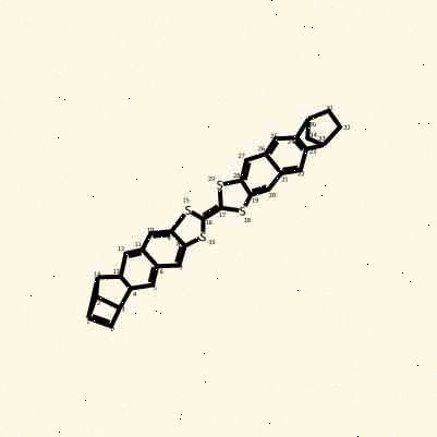 C1=C2C3C1C1C=c4cc5c(cc4=CC1C23)SC(=C1Sc2cc3cc4c(cc3cc2S1)C1CCC4C1)S5